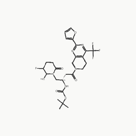 CC(C)(C)OC(=O)N[C@@H](CC(=O)N1CCc2c(nc(-c3ccco3)nc2C(F)(F)F)C1)CN1C(=O)CCC(F)C1O